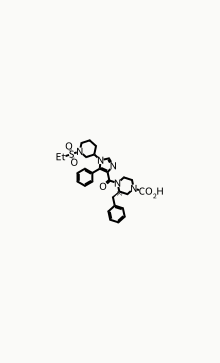 CCS(=O)(=O)N1CCCC(n2cnc(C(=O)N3CCN(C(=O)O)C[C@H]3Cc3ccccc3)c2-c2ccccc2)C1